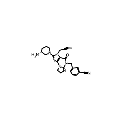 CC#CCn1c(N2CCC[C@@H](N)C2)nc2c1C(=O)N(Cc1cccc(C#N)c1)C1=NCCN12